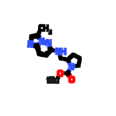 Cc1cnc2ccc(NCC3CCCN3C(=O)OC(C)(C)C)nn12